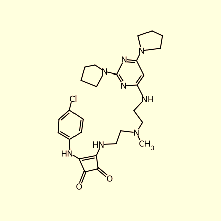 CN(CCNc1cc(N2CCCC2)nc(N2CCCC2)n1)CCNc1c(Nc2ccc(Cl)cc2)c(=O)c1=O